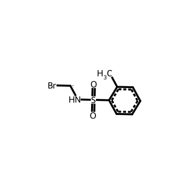 Cc1ccccc1S(=O)(=O)N[CH]Br